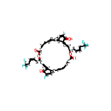 O=C1CCC/C=C\C[C@H]2C=C(F)C(=O)/C2=C/C[C@H](C/C=C\CC(F)(F)F)OC(=O)CCC/C=C\C[C@H]2C=C(F)C(=O)/C2=C/C[C@H](C/C=C\CC(F)(F)F)O1